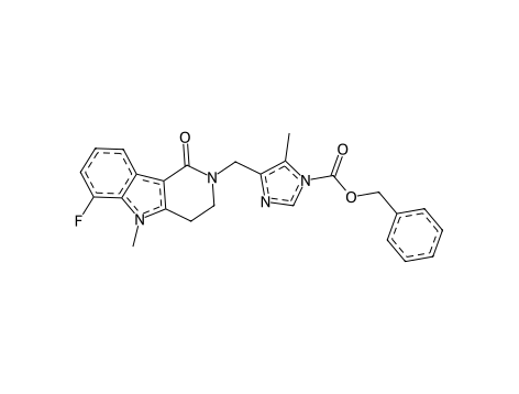 Cc1c(CN2CCc3c(c4cccc(F)c4n3C)C2=O)ncn1C(=O)OCc1ccccc1